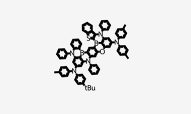 Cc1ccc(N(c2ccc(C)cc2)c2cc3c4c(c2)N(c2ccccc2)c2c(sc5ccccc25)B4c2cc4c(cc2O3)N(c2ccccc2)c2cc(N(c3ccc(C)cc3)c3ccc(C(C)(C)C)cc3)cc3c2B4c2ccccc2N3c2ccccc2)cc1